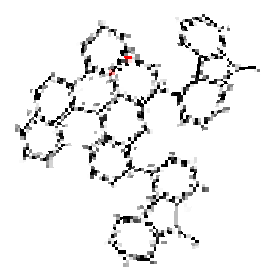 Cn1c2ccccc2c2c(-c3cccc4c(-c5c(-c6ccccc6)ccc6ccccc56)c5cccc(-c6cccc7c6c6ccccc6n7C)c5cc34)cccc21